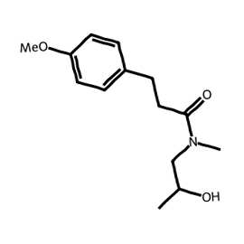 COc1ccc(CCC(=O)N(C)CC(C)O)cc1